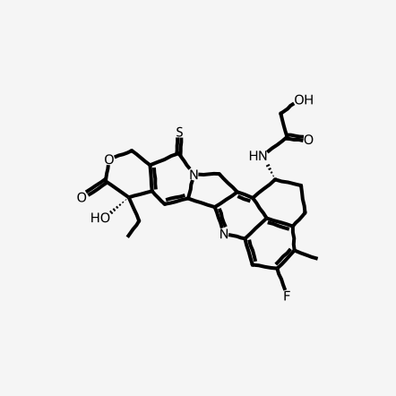 CC[C@@]1(O)C(=O)OCc2c1cc1n(c2=S)Cc2c-1nc1cc(F)c(C)c3c1c2[C@H](NC(=O)CO)CC3